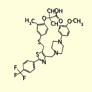 COc1ccc(N2CCN(Cc3nc(-c4ccc(C(F)(F)F)cc4)sc3CSc3ccc(OC(C)(C)C(=O)O)c(C)c3)CC2)cc1